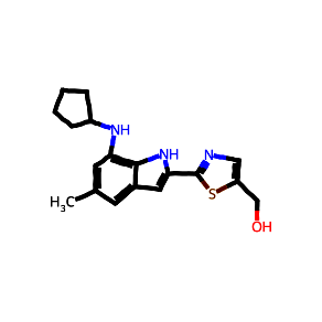 Cc1cc(NC2CCCC2)c2[nH]c(-c3ncc(CO)s3)cc2c1